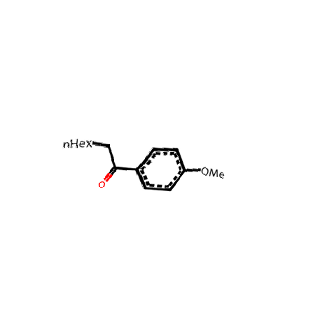 CCCCCCCC(=O)c1ccc(OC)cc1